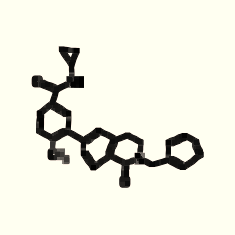 Cc1ccc(C(=O)NC2CC2)cc1-c1ccc2c(c1)CCN(Cc1ccccc1)C2=O